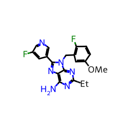 CCc1nc(N)c2nc(-c3cncc(F)c3)n(Cc3cc(OC)ccc3F)c2n1